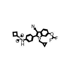 N#Cc1c(-c2ccc(NS(=O)(=O)C3CCC3)cc2)n(CC2CC2)c2cc(OC(F)F)ccc12